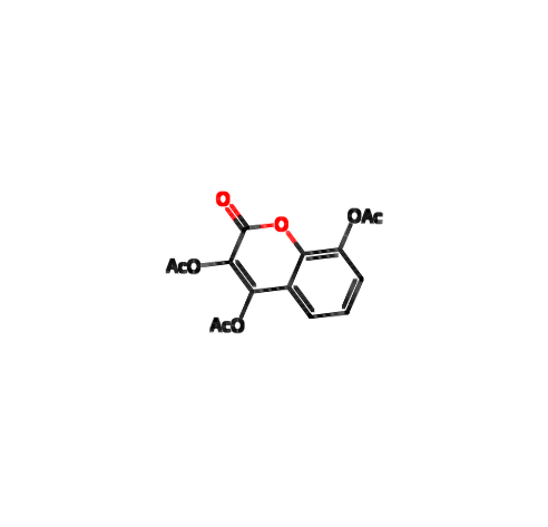 CC(=O)Oc1c(OC(C)=O)c2cccc(OC(C)=O)c2oc1=O